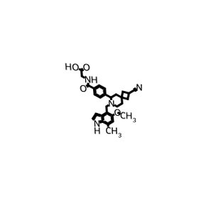 COc1cc(C)c2[nH]ccc2c1CN1CCC2(CC(C#N)C2)CC1c1ccc(C(=O)NCC(=O)O)cc1